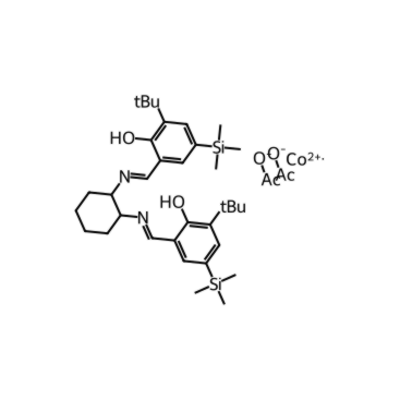 CC(=O)[O-].CC(=O)[O-].CC(C)(C)c1cc([Si](C)(C)C)cc(C=NC2CCCCC2N=Cc2cc([Si](C)(C)C)cc(C(C)(C)C)c2O)c1O.[Co+2]